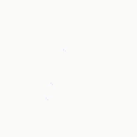 c1ccc(-c2nc3cccc(-c4ccc5c(c4)c4sc6c7ccccc7ccc6c4c4c6ccccc6[nH]c54)c3nc2-c2ccccc2)cc1